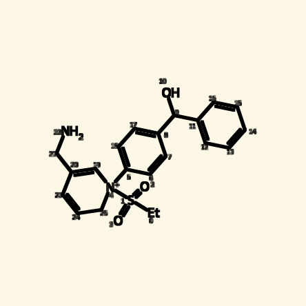 CCS(=O)(=O)[N+]1(c2ccc(C(O)c3ccccc3)cc2)C=C(CN)C=CC1